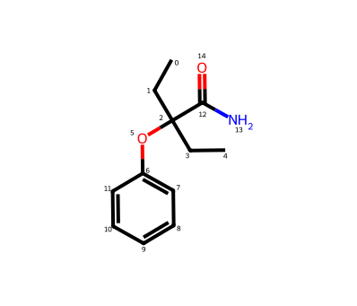 CCC(CC)(Oc1ccccc1)C(N)=O